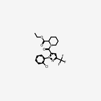 CCOC(=O)C1CCCCN1C(=O)c1cc(C(F)(F)F)nn1-c1ccccc1Cl